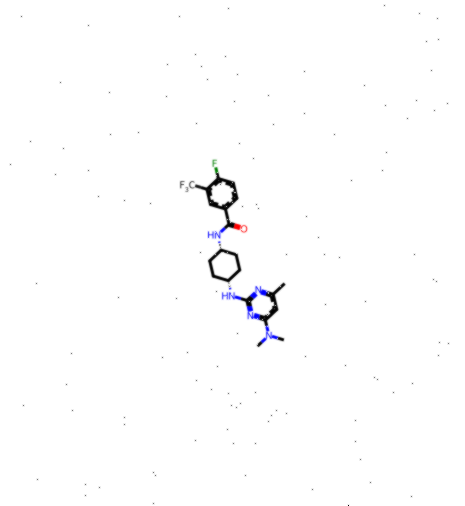 Cc1cc(N(C)C)nc(N[C@H]2CC[C@@H](NC(=O)c3ccc(F)c(C(F)(F)F)c3)CC2)n1